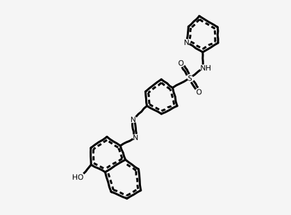 O=S(=O)(Nc1ccccn1)c1ccc(/N=N/c2ccc(O)c3ccccc23)cc1